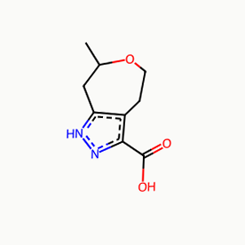 CC1Cc2[nH]nc(C(=O)O)c2CCO1